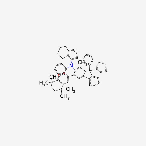 Cc1ccc2c(c1N(c1ccccc1)c1cc3c(cc1-c1ccc4c(c1)C(C)(C)CCC4(C)C)-c1ccccc1C3(c1ccccc1)c1ccccc1)CCCC2